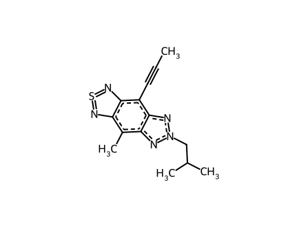 CC#Cc1c2c(c(C)c3nn(CC(C)C)nc13)N=S=N2